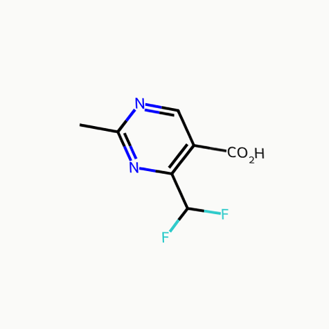 Cc1ncc(C(=O)O)c(C(F)F)n1